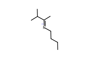 CCCC/N=C(\C)C(C)C